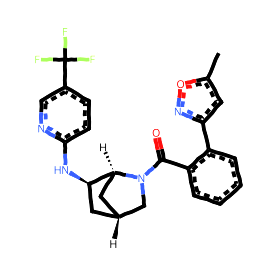 Cc1cc(-c2ccccc2C(=O)N2C[C@@H]3C[C@@H](Nc4ccc(C(F)(F)F)cn4)[C@@H]2C3)no1